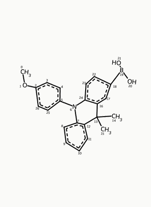 COc1ccc(N2c3ccccc3C(C)(C)c3cc(B(O)O)ccc32)cc1